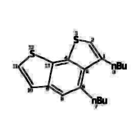 CCCCc1csc2c1c(CCCC)cc1ccsc12